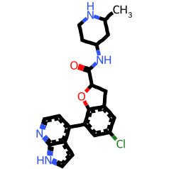 CC1CC(NC(=O)C2Cc3cc(Cl)cc(-c4ccnc5[nH]ccc45)c3O2)CCN1